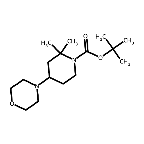 CC(C)(C)OC(=O)N1CCC(N2CCOCC2)CC1(C)C